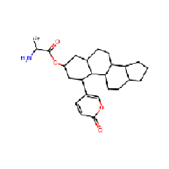 CC(C)C(N)C(=O)OC1CC2CCC3C4CCCC4CCC3C2C(c2ccc(=O)oc2)C1